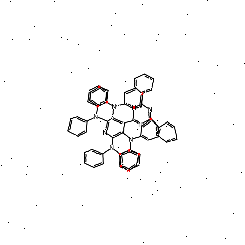 c1ccc(-c2nc(-c3ccccc3)nc(-c3c(N(c4ccccc4)c4ccccc4)c(N(c4ccccc4)c4ccccc4)nc(N(c4ccccc4)c4ccccc4)c3N(c3ccccc3)c3ccccc3)n2)cc1